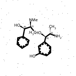 CN[C@@H](C)[C@H](O)c1ccccc1.C[C@H](N)[C@H](O)c1cccc(O)c1